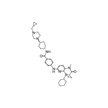 C[C@@H]1C(=O)N(C)c2ccc(Nc3ccc(C(=O)N[C@H]4CC[C@H](N5CCN(CC6CC6)CC5)CC4)cc3)nc2N1C1CCCCC1